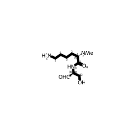 CN[C@@H](CCCCN)C(=O)N[C@H](C=O)CO